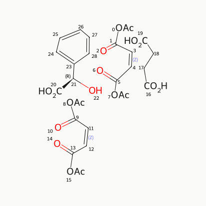 CC(=O)OC(=O)/C=C\C(=O)OC(C)=O.CC(=O)OC(=O)/C=C\C(=O)OC(C)=O.O=C(O)CCC(=O)O.O=C(O)[C@H](O)c1ccccc1